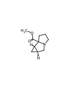 COC(=O)C12CCCN1C[C@@H]1C[C@@H]12